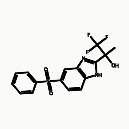 CC(O)(c1nc2cc(S(=O)(=O)c3ccccc3)ccc2[nH]1)C(F)(F)F